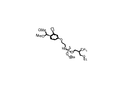 CCOCC(C)COP(=S)(NCCOc1ccc(C(OC)OC)c(Cl)c1)OC(C)(C)C